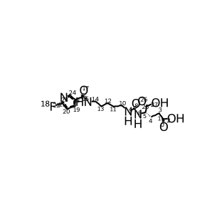 O=C(O)CC[C@H](NC(=O)NCCCCCNC(=O)c1ccc([18F])nc1)C(=O)O